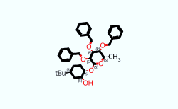 C[C@@H]1O[C@@H](O[C@H]2CC[C@H](C(C)(C)C)C[C@@H]2O)[C@@H](OCc2ccccc2)[C@H](OCc2ccccc2)[C@@H]1OCc1ccccc1